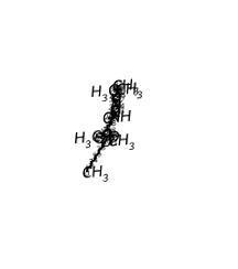 CCCCCCCCCCOc1c(OC)cc(/C=C/C(=O)NN2CCN(c3ccc(C(C)(C)C)cc3)CC2)cc1OC